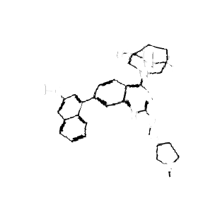 CN1CC[C@@H](COc2nc(N3C[C@H]4CC[C@@H](C3)N4)c3ccc(-c4cc(O)cc5ccccc45)cc3n2)C1